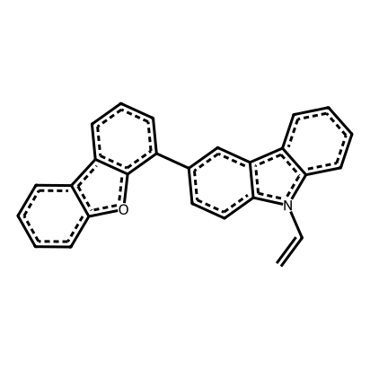 C=Cn1c2ccccc2c2cc(-c3cccc4c3oc3ccccc34)ccc21